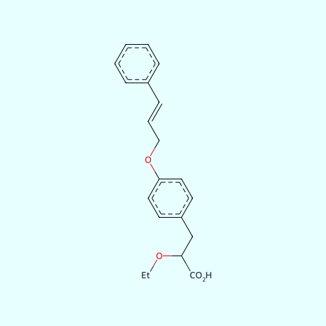 CCOC(Cc1ccc(OCC=Cc2ccccc2)cc1)C(=O)O